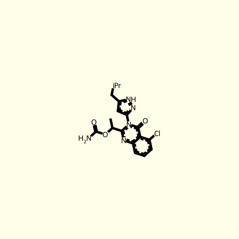 CC(C)Cc1cc(-n2c(C(C)OC(N)=O)nc3cccc(Cl)c3c2=O)n[nH]1